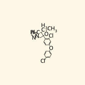 CCOC(Cn1cncn1)(c1ccc(Oc2ccc(Cl)cc2)cc1Cl)C(C)C